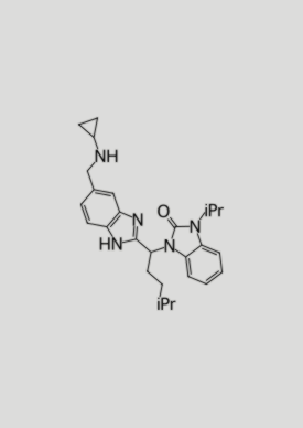 CC(C)CCC(c1nc2cc(CNC3CC3)ccc2[nH]1)n1c(=O)n(C(C)C)c2ccccc21